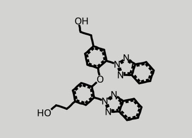 OCCc1ccc(Oc2ccc(CCO)cc2-n2nc3ccccc3n2)c(-n2nc3ccccc3n2)c1